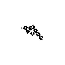 Nc1cc(-c2cnc3ccc(N4CCCC4C4C=CC=C(F)C4)nn23)ccc1N1CCC(N2CCOCC2)CC1